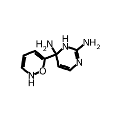 NC1=NC=CC(N)(C2=CC=CNO2)N1